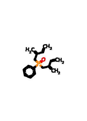 C=CC(=C)CP(=O)(CC(=C)C=C)c1ccccc1